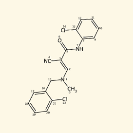 CN(C=C(C#N)C(=O)Nc1ccccc1Cl)Cc1ccccc1Cl